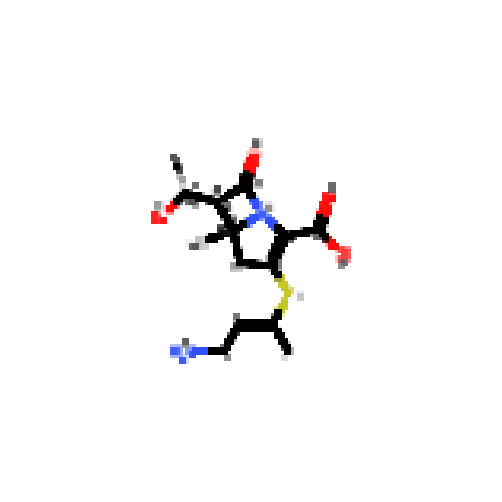 CC(=CCN)SC1=C(C(=O)O)N2C(=O)[C@H]([C@@H](C)O)[C@H]2C1